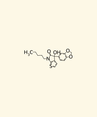 CCCCCN1C(=O)C(O)(c2ccc3c(c2)OCO3)c2ccsc21